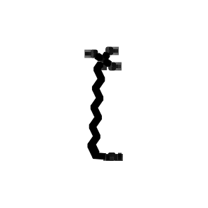 CCCCCCCC/C=C\CCCCCCCC[PH](O)(O)O